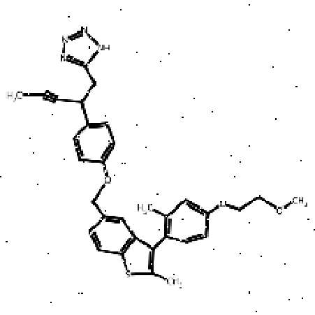 CC#CC(Cc1nnn[nH]1)c1ccc(OCc2ccc3sc(C)c(-c4ccc(OCCOC)cc4C)c3c2)cc1